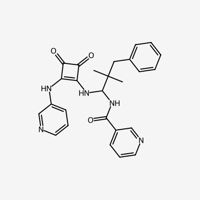 CC(C)(Cc1ccccc1)C(NC(=O)c1cccnc1)Nc1c(Nc2cccnc2)c(=O)c1=O